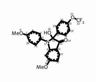 COc1ccc(N2c3cc(OC)ccc3C(=O)C2(O)c2ccc(OC(F)(F)F)cc2)cc1